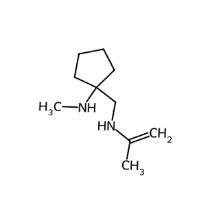 C=C(C)NCC1(NC)CCCC1